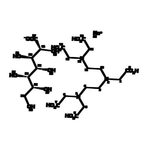 O=C(O)CN(CCN(CC(=O)O)CC(=O)O)CCN(CC(=O)O)CC(=O)O.O=C([O-])[C@H](O)[C@H](O)[C@H](O)[C@@H](O)[C@H](O)CO.[Na+]